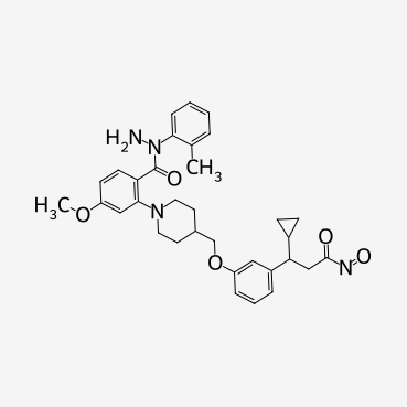 COc1ccc(C(=O)N(N)c2ccccc2C)c(N2CCC(COc3cccc(C(CC(=O)N=O)C4CC4)c3)CC2)c1